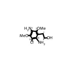 COc1c(N)c(OC)c(CCO)c(N)c1Cl